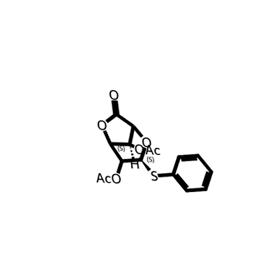 CC(=O)OC1C2OC(=O)C(O[C@H]1Sc1ccccc1)[C@H]2OC(C)=O